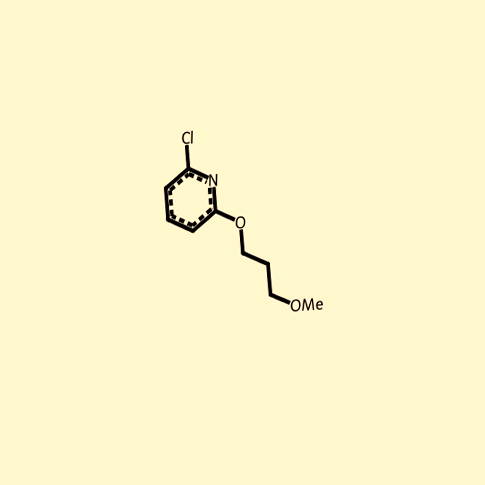 COCCCOc1cccc(Cl)n1